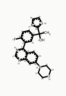 CC(O)(c1ccc(F)c(-c2ncnc3cc(N4CCOCC4)ccc23)c1)c1nccs1